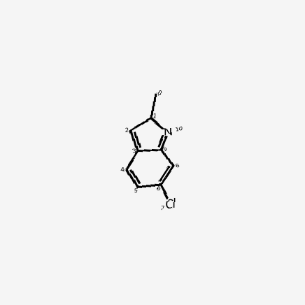 CC1C=c2ccc(Cl)cc2=N1